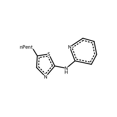 CCCCCc1cnc(Nc2ccccn2)s1